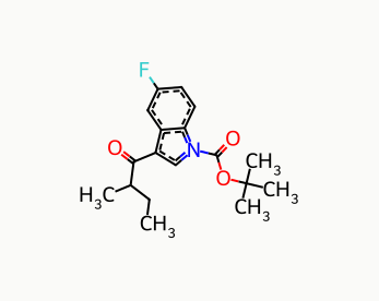 CCC(C)C(=O)c1cn(C(=O)OC(C)(C)C)c2ccc(F)cc12